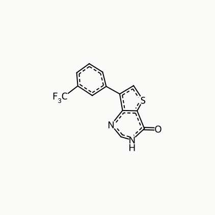 O=c1[nH]cnc2c(-c3cccc(C(F)(F)F)c3)csc12